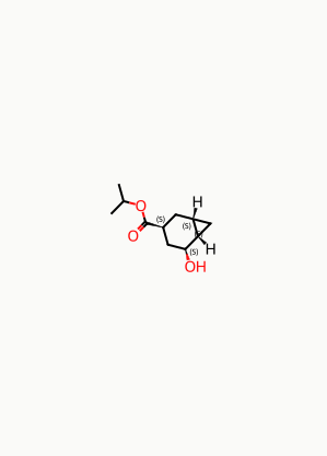 CC(C)OC(=O)[C@H]1C[C@@H]2C[C@@H]2[C@@H](O)C1